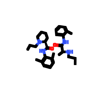 CCCN1CCCC[C@H]1C(=O)Nc1c(C)cccc1C.CCCNC(C)C(=O)Nc1ccccc1C